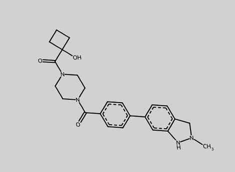 CN1Cc2ccc(-c3ccc(C(=O)N4CCN(C(=O)C5(O)CCC5)CC4)cc3)cc2N1